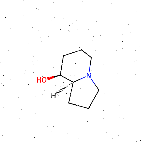 O[C@H]1CCCN2CCC[C@@H]12